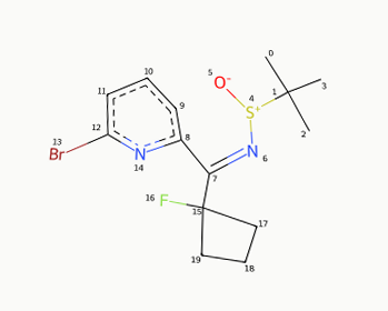 CC(C)(C)[S+]([O-])/N=C(\c1cccc(Br)n1)C1(F)CCC1